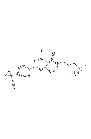 C[C@H](N)CCCn1ccc2cc(-c3ccc(C4(C#N)CC4)cn3)cc(F)c2c1=O